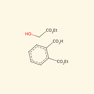 CCOC(=O)CO.CCOC(=O)c1ccccc1C(=O)O